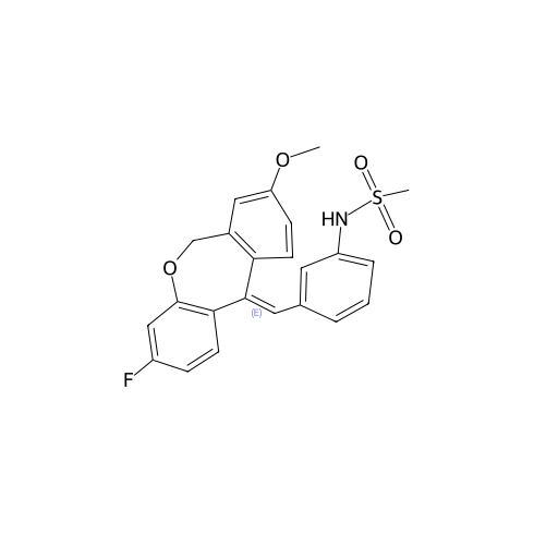 COc1ccc2c(c1)COc1cc(F)ccc1/C2=C/c1cccc(NS(C)(=O)=O)c1